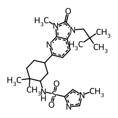 Cn1cnc(S(=O)(=O)NC2CC(c3ccc4c(n3)n(C)c(=O)n4CC(C)(C)C)CCC2(C)C)c1